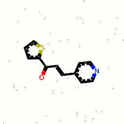 O=C(C=Cc1ccncc1)c1cccs1